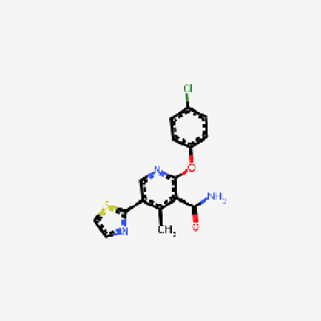 Cc1c(-c2nccs2)cnc(Oc2ccc(Cl)cc2)c1C(N)=O